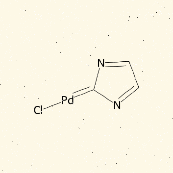 [Cl][Pd]=[C]1N=CC=N1